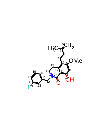 C=C(C)CCc1c(OC)cc(O)c2c1CCN(Cc1cccc(F)c1)C2=O